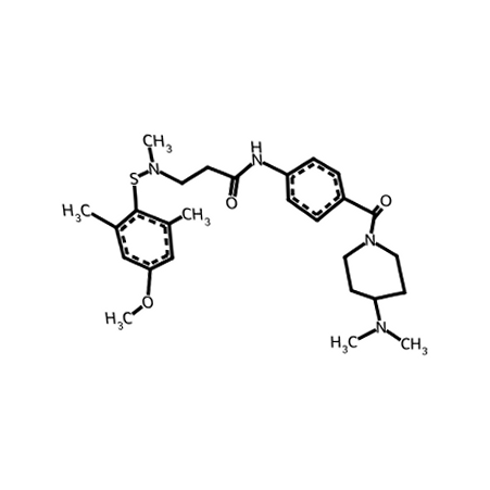 COc1cc(C)c(SN(C)CCC(=O)Nc2ccc(C(=O)N3CCC(N(C)C)CC3)cc2)c(C)c1